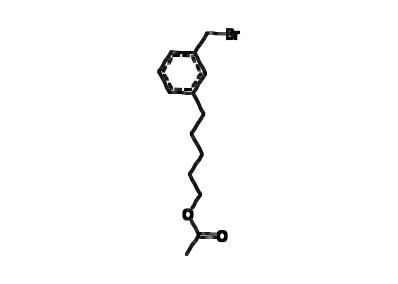 CC(=O)OCCCCCc1cccc(CBr)c1